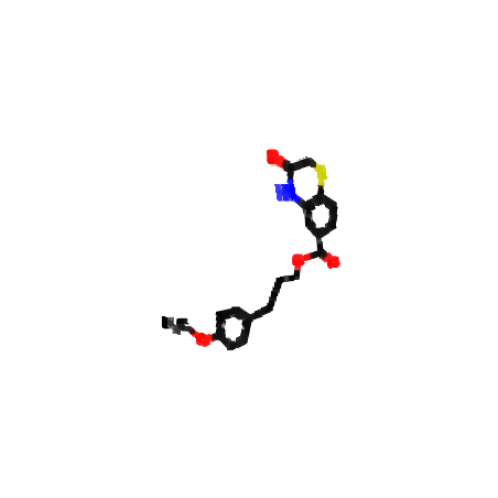 COc1ccc(CCCOC(=O)c2ccc3c(c2)NC(=O)CS3)cc1